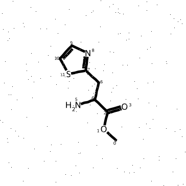 COC(=O)C(N)Cc1nccs1